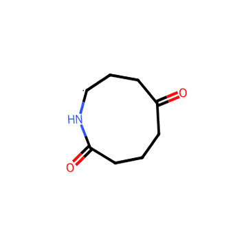 O=C1CC[CH]NC(=O)CCC1